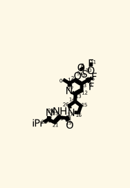 Cc1cc(C(F)(F)S(=O)(=O)OF)cc(C2CCN(C(=O)c3cc(C(C)C)n[nH]3)C2)n1